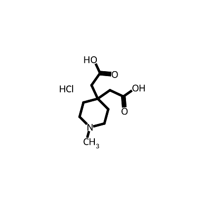 CN1CCC(CC(=O)O)(CC(=O)O)CC1.Cl